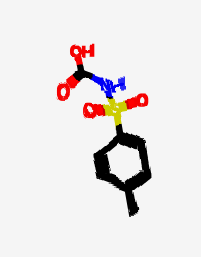 Cc1ccc(S(=O)(=O)NC(=O)O)cc1